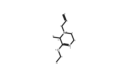 C=CCN1CCN=C(OCC)C1C